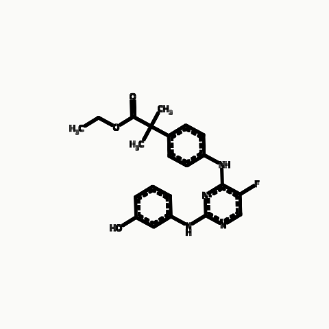 CCOC(=O)C(C)(C)c1ccc(Nc2nc(Nc3cccc(O)c3)ncc2F)cc1